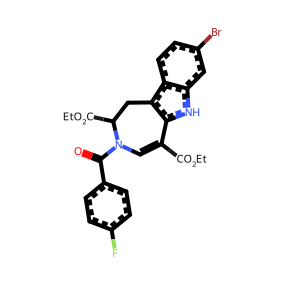 CCOC(=O)C1=CN(C(=O)c2ccc(F)cc2)C(C(=O)OCC)Cc2c1[nH]c1cc(Br)ccc21